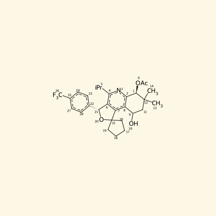 CC(=O)O[C@@H]1c2nc(C(C)C)c3c(c2C(O)CC1(C)C)C1(CCCC1)O[C@@H]3c1ccc(C(F)(F)F)cc1